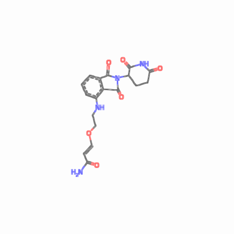 NC(=O)C=COCCNc1cccc2c1C(=O)N(C1CCC(=O)NC1=O)C2=O